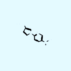 O=Cc1ccn(-c2ccc(B(O)O)cn2)c1